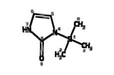 C[Si](C)(C)n1cc[nH]c1=O